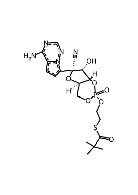 CC(C)(C)C(=O)SCCOP1(=O)OC[C@H]2O[C@@](C#N)(c3ccc4c(N)ncnn34)[C@H](O)[C@@H]2O1